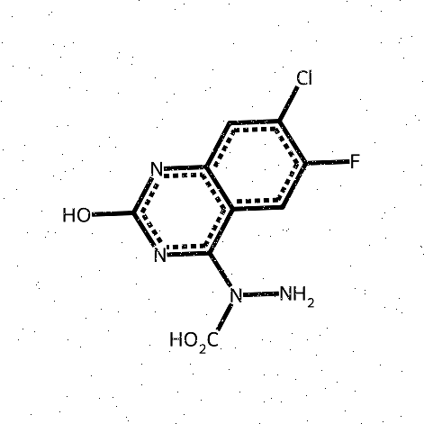 NN(C(=O)O)c1nc(O)nc2cc(Cl)c(F)cc12